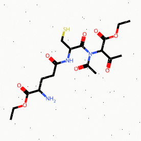 CCOC(=O)C(N)CCC(=O)NC(CS)C(=O)N(C(C)=O)C(C(C)=O)C(=O)OCC